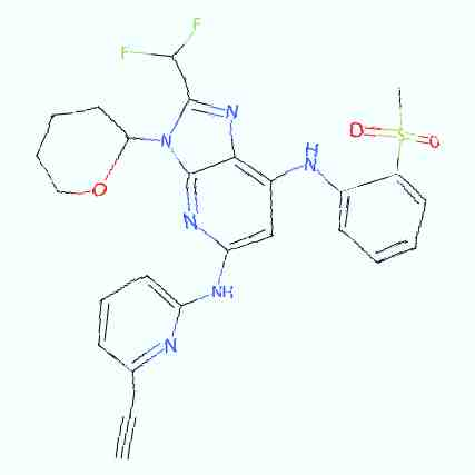 C#Cc1cccc(Nc2cc(Nc3ccccc3S(C)(=O)=O)c3nc(C(F)F)n(C4CCCCO4)c3n2)n1